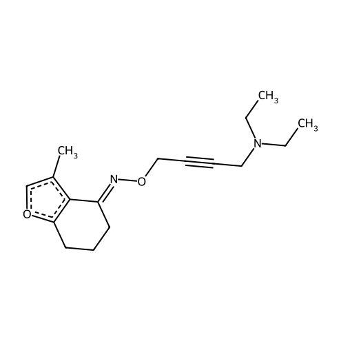 CCN(CC)CC#CCO/N=C1\CCCc2occ(C)c21